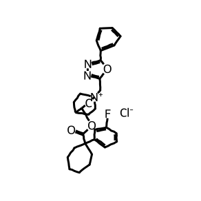 O=C(OC1C[N+]2(Cc3nnc(-c4ccccc4)o3)CCC1CC2)C1(c2cccc(F)c2)CCCCCC1.[Cl-]